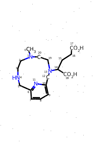 CN1CCNCc2cccc(n2)CN(C(CCC(=O)O)C(=O)O)CC1